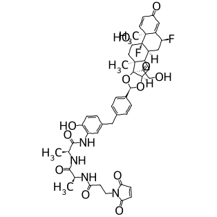 C[C@H](NC(=O)CCN1C(=O)C=CC1=O)C(=O)N[C@@H](C)C(=O)Nc1cc(Cc2ccc([C@@H]3O[C@@H]4CC5[C@@H]6C[C@H](F)C7=CC(=O)C=C[C@]7(C)[C@@]6(F)[C@@H](O)C[C@]5(C)[C@]4(C(=O)CO)O3)cc2)ccc1O